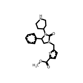 COC(=O)c1ccc(CN2CC(c3ccccc3)N(C3CCNCC3)C2=O)s1